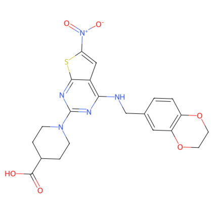 O=C(O)C1CCN(c2nc(NCc3ccc4c(c3)OCCO4)c3cc([N+](=O)[O-])sc3n2)CC1